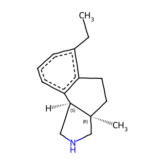 CCc1cccc2c1CC[C@@]1(C)CNC[C@@H]21